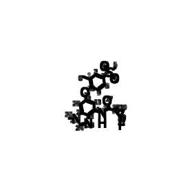 Cc1cc(S(C)(=O)=O)ccc1Oc1cc(NC(=O)[C@H]2C[C@H]2F)c2ncn(C)c2c1